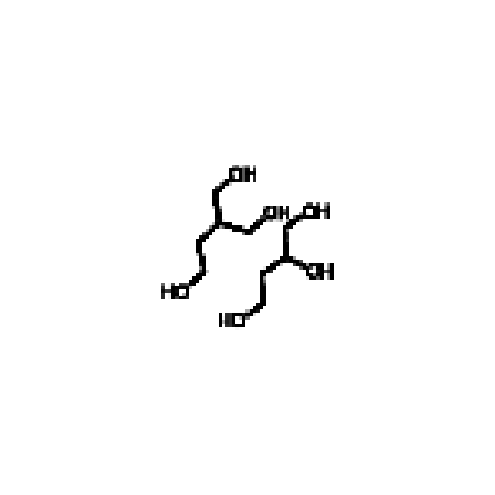 OCCC(CO)CO.OCCC(O)CO